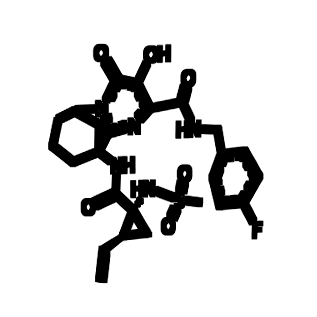 C=C[C@@H]1C[C@]1(NS(C)(=O)=O)C(=O)NC12CCC(CC1)Cn1c2nc(C(=O)NCc2ccc(F)cc2)c(O)c1=O